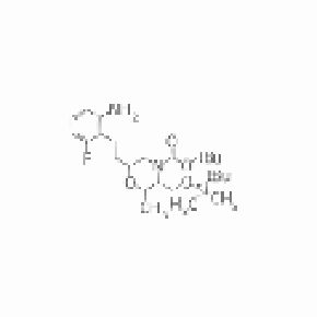 CC1OC(CCc2c(N)cccc2F)CN(C(=O)OC(C)(C)C)C1CO[Si](C)(C)C(C)(C)C